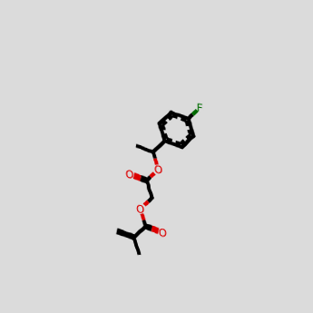 C=C(C)C(=O)OCC(=O)OC(C)c1ccc(F)cc1